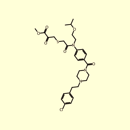 COC(=O)C(=O)CSCC(=O)N(CCOC(C)C)c1ccc(C(=O)N2CCN(CCc3ccc(Cl)cc3)CC2)cc1